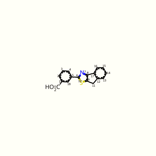 O=C(O)c1cccc(-c2nc3c(s2)Cc2ccccc2-3)c1